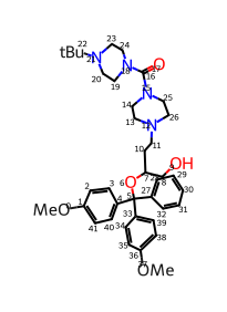 COc1ccc(C(OC(CO)CCN2CCN(C(=O)N3CCN(C(C)(C)C)CC3)CC2)(c2ccccc2)c2ccc(OC)cc2)cc1